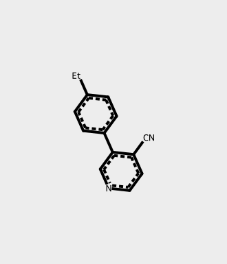 CCc1ccc(-c2cnccc2C#N)cc1